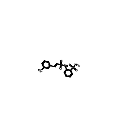 NS(=O)(=O)c1ccccc1NS(=O)(=O)C=Cc1cccc(C(F)(F)F)c1